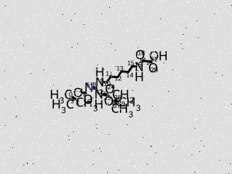 CC(C)(C)OC(=O)/N=C(/NCCCCCCNC(=O)C(=O)O)NC(=O)OC(C)(C)C